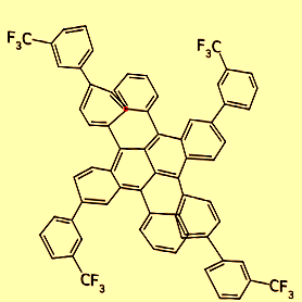 FC(F)(F)c1cccc(-c2ccc(-c3c4ccc(-c5cccc(C(F)(F)F)c5)cc4c(-c4ccccc4)c4c(-c5ccc(-c6cccc(C(F)(F)F)c6)cc5)c5ccc(-c6cccc(C(F)(F)F)c6)cc5c(-c5ccccc5)c34)cc2)c1